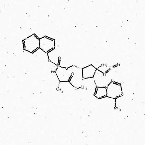 COC(=O)[C@H](C)NP(=O)(OC[C@@H]1C[C@@](C)(N=[N+]=[N-])[C@H](c2ccc3c(N)ncnn23)O1)Oc1cccc2ccccc12